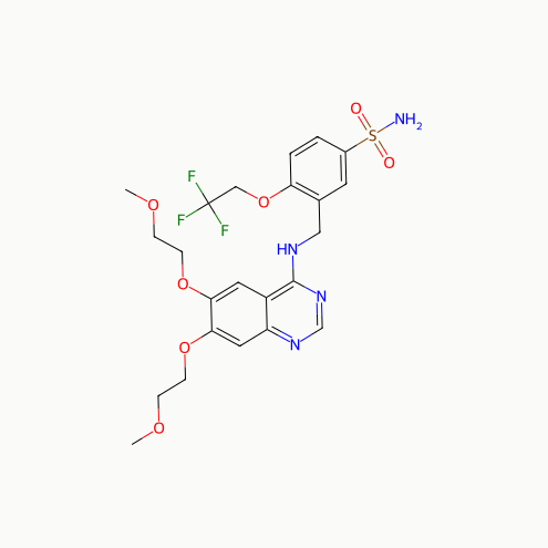 COCCOc1cc2ncnc(NCc3cc(S(N)(=O)=O)ccc3OCC(F)(F)F)c2cc1OCCOC